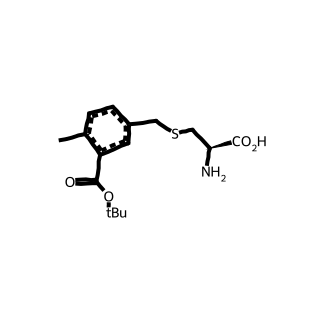 Cc1ccc(CSC[C@H](N)C(=O)O)cc1C(=O)OC(C)(C)C